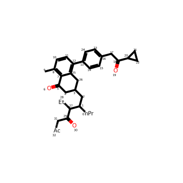 CCCC(CC1CC(=O)c2c(C)ccc(-c3ccc(CC(=O)C4CC4)cc3)c2C1)C(CC)C(=O)CC(C)=O